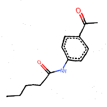 CCCCC(=O)Nc1ccc(C(C)=O)cc1